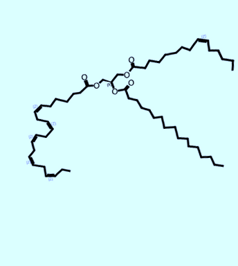 CC/C=C\C/C=C\C/C=C\C/C=C\C/C=C\CCCCCC(=O)OC[C@@H](COC(=O)CCCCCCC/C=C\CCCCC)OC(=O)CCCCCCCCCCCCCCCC